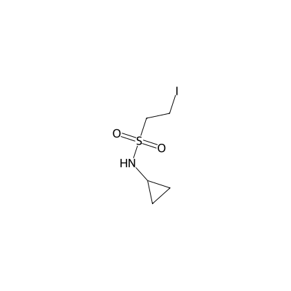 O=S(=O)(CCI)NC1CC1